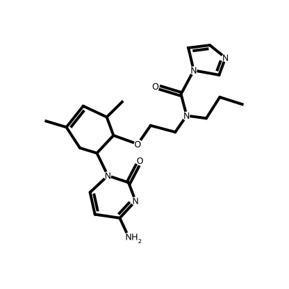 CCCN(CCOC1C(C)C=C(C)CC1n1ccc(N)nc1=O)C(=O)n1ccnc1